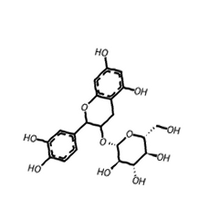 OC[C@H]1O[C@@H](OC2Cc3c(O)cc(O)cc3OC2c2ccc(O)c(O)c2)[C@H](O)[C@@H](O)[C@@H]1O